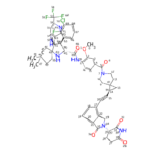 COc1cc(C(=O)N2CCC3(CC2)C[C@H]3C#Cc2cccc3c2CN([C@H]2CCC(=O)NC2=O)C3=O)ccc1NC(=O)[C@@H]1NC2(CCC(C)(C)CC2)[C@@]2(CNc3cc(C(F)(F)F)ncc32)[C@H]1c1cccc(Cl)c1F